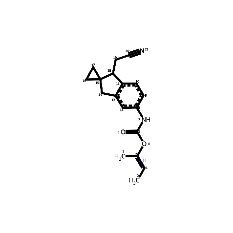 C/C=C(\C)OC(=O)Nc1ccc2c(c1)CC1(CC1)C2CC#N